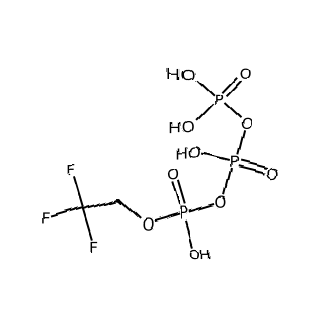 O=P(O)(O)OP(=O)(O)OP(=O)(O)OCC(F)(F)F